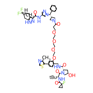 Cc1ncsc1-c1ccc(CNC(=O)[C@@H]2C[C@@H](O)CN2C(=O)[C@@H](NC(=O)C2(F)CC2)C(C)(C)C)c(OCCOCCOCCOCCC(=O)N2CC([C@@H](c3ccccc3)n3cc(NC(=O)c4n[nH]c5c4C[C@@H]4C(F)(F)[C@]4(C)C5)cn3)C2)c1